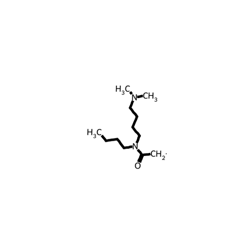 [CH2]C(=O)N(CCCC)CCCCN(C)C